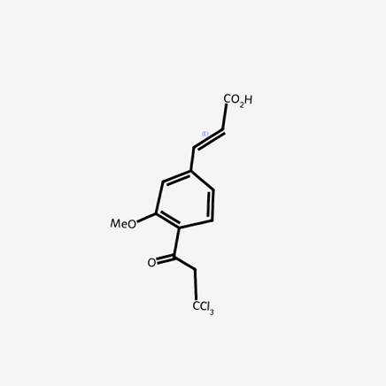 COc1cc(/C=C/C(=O)O)ccc1C(=O)CC(Cl)(Cl)Cl